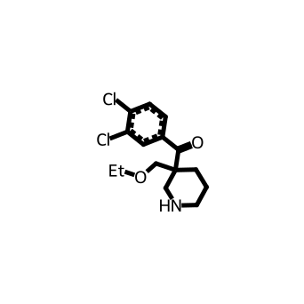 CCOCC1(C(=O)c2ccc(Cl)c(Cl)c2)CCCNC1